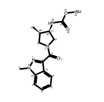 C[C@@H]1CN(C(=O)c2nn(C)c3ccccc23)C[C@@H]1NC(=O)OC(C)(C)C